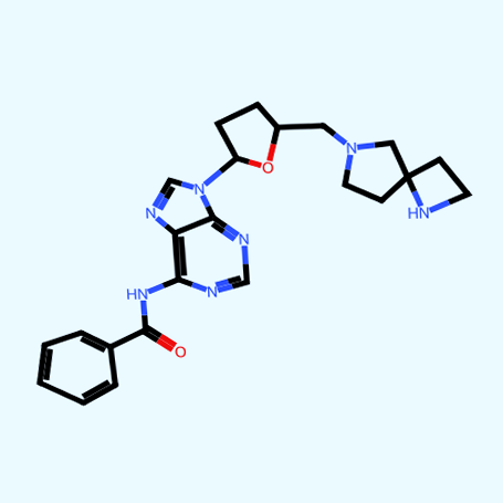 O=C(Nc1ncnc2c1ncn2C1CCC(CN2CCC3(CCN3)C2)O1)c1ccccc1